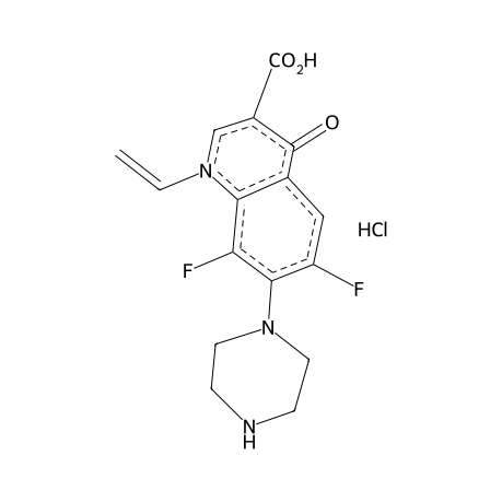 C=Cn1cc(C(=O)O)c(=O)c2cc(F)c(N3CCNCC3)c(F)c21.Cl